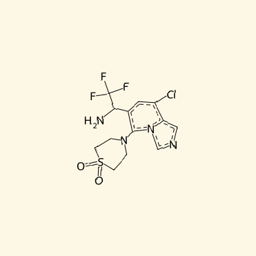 NC(c1cc(Cl)c2cncn2c1N1CCS(=O)(=O)CC1)C(F)(F)F